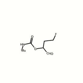 CC(C)(C)NC(=O)OC(C=O)CCF